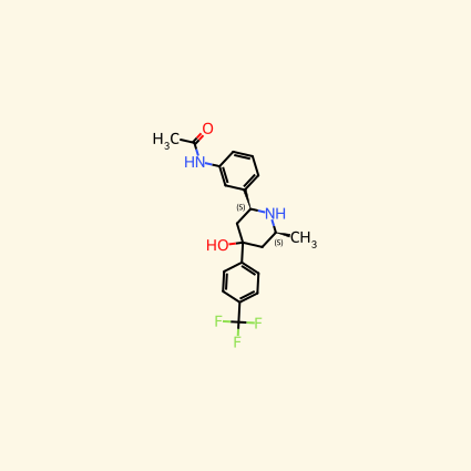 CC(=O)Nc1cccc([C@@H]2CC(O)(c3ccc(C(F)(F)F)cc3)C[C@H](C)N2)c1